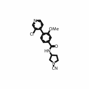 COc1cc(C(=O)NC2CCN(C#N)C2)ccc1-c1ccncc1Cl